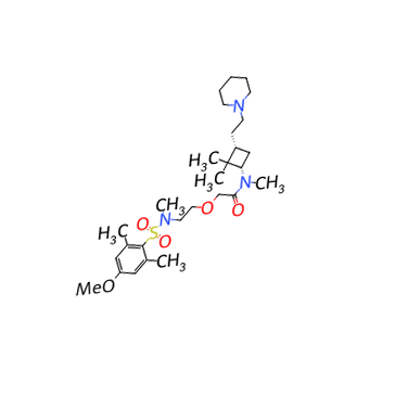 COc1cc(C)c(S(=O)(=O)N(C)CCOCC(=O)N(C)[C@H]2C[C@@H](CCN3CCCCC3)C2(C)C)c(C)c1